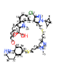 Cc1nn(C23CC2C3)c2c1-c1c(Cl)ccc3c(c(C(=O)O)n(C)c13)CCCOc1cc(cc3c1NCCC3)SCc1cc(nn1C)CSC2